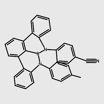 Cc1ccc(N2B3c4c(cccc4-c4ccccc4N3c3ccc(C#N)cc3)-c3ccccc32)cc1